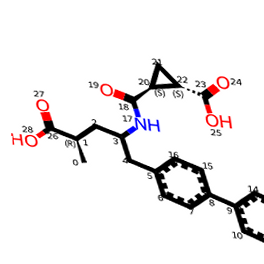 C[C@H](CC(Cc1ccc(-c2ccccc2)cc1)NC(=O)[C@H]1C[C@@H]1C(=O)O)C(=O)O